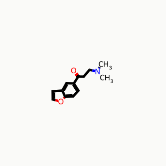 CN(C)CCC(=O)c1ccc2occc2c1